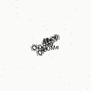 COC(=O)C1=C(C(=O)OC(c2ccccc2)c2ccccc2)CS[C@H]2C(NC(=O)Cc3cccs3)C(=O)N12